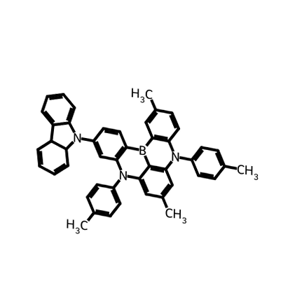 Cc1ccc(N2c3ccc(C)cc3B3c4ccc(N5c6ccccc6C6C=CC=CC65)cc4N(c4ccc(C)cc4)c4cc(C)cc2c43)cc1